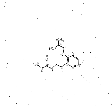 C[C@H](O)COc1ccncc1CCNC(=O)OC(C)(C)C